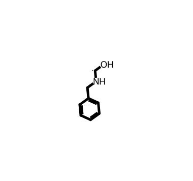 O[CH]NCc1ccccc1